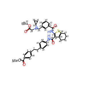 COC(=O)c1ccc(CCc2ccc(NC(=O)c3c(NC(=O)c4cccc(CN(CC(=O)OC(C)(C)C)C5CC5)c4)sc4c3CCCC4)cc2)cc1